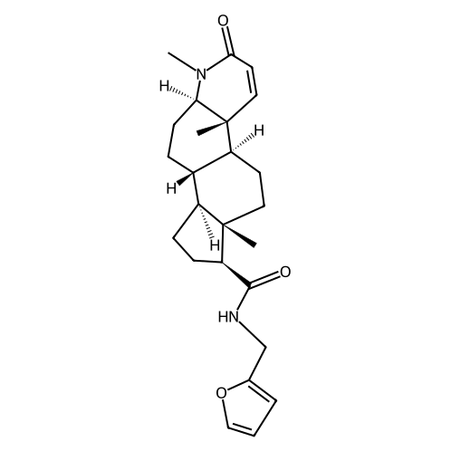 CN1C(=O)C=C[C@]2(C)[C@H]3CC[C@]4(C)[C@@H](C(=O)NCc5ccco5)CC[C@H]4[C@@H]3CC[C@@H]12